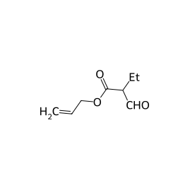 C=CCOC(=O)C(C=O)CC